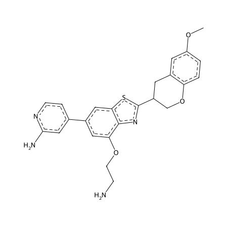 COc1ccc2c(c1)CC(c1nc3c(OCCN)cc(-c4ccnc(N)c4)cc3s1)CO2